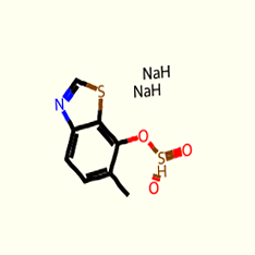 Cc1ccc2ncsc2c1O[SH](=O)=O.[NaH].[NaH]